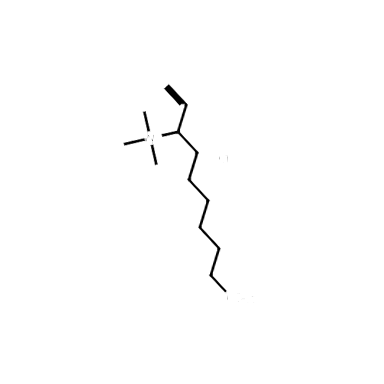 C=CC(CCCCCCCCCCCCCC)[N+](C)(C)C.[Cl-]